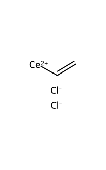 C=[CH][Ce+2].[Cl-].[Cl-]